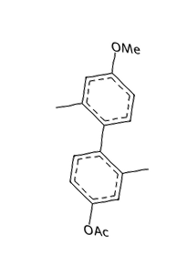 COc1ccc(-c2ccc(OC(C)=O)cc2C)c(C)c1